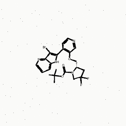 CC(C)(C)OC(=O)N1CC(F)(F)C[C@H]1COc1cnccc1-c1[nH]c2cccnc2c1Br